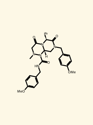 COc1ccc(CNC(=O)N2[C@H]3CN(Cc4ccc(OC)cc4)C(=O)[C@H](C(C)C)N3C(=O)CN2C)cc1